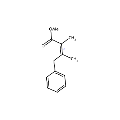 COC(=O)/C(C)=C(/C)Cc1ccccc1